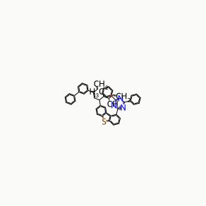 C=C/C(=C\C(c1ccc2sc3cccc(-c4nc(-c5ccccc5)nc(-c5ccccc5)n4)c3c2c1)C(C)C(C)C=C)c1cccc(-c2ccccc2)c1